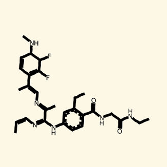 C\C=C/N=C(Nc1ccc(C(=O)NCC(=O)NCC)c(CC)c1)\C(C)=N\C=C(/C)C1=C(F)C(F)C(NC)C=C1